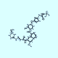 COc1cc2ncnc(Nc3ccc(Oc4nc(CC(=O)NC(C)(C)C)cs4)cc3F)c2cc1NC(=O)/C=C/CN1CC[C@@H](OC)C1